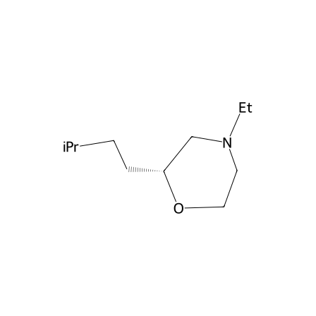 CCN1CCO[C@H](CCC(C)C)C1